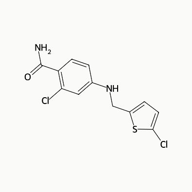 NC(=O)c1ccc(NCc2ccc(Cl)s2)cc1Cl